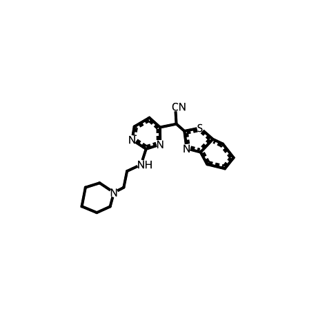 N#CC(c1ccnc(NCCN2CCCCC2)n1)c1nc2ccccc2s1